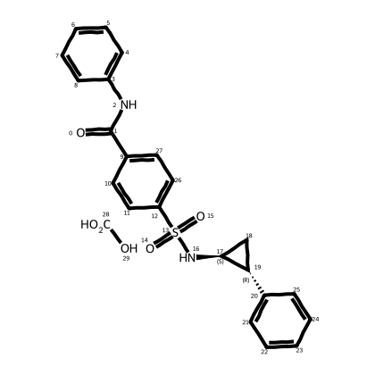 O=C(Nc1ccccc1)c1ccc(S(=O)(=O)N[C@H]2C[C@@H]2c2ccccc2)cc1.O=C(O)O